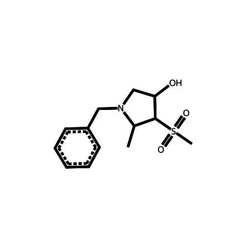 CC1C(S(C)(=O)=O)C(O)CN1Cc1ccccc1